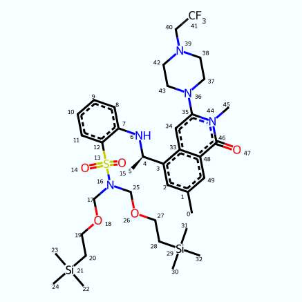 Cc1cc([C@@H](C)Nc2ccccc2S(=O)(=O)N(COCC[Si](C)(C)C)COCC[Si](C)(C)C)c2cc(N3CCN(CC(F)(F)F)CC3)n(C)c(=O)c2c1